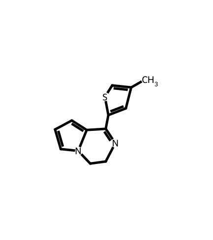 Cc1csc(C2=NCCn3cccc32)c1